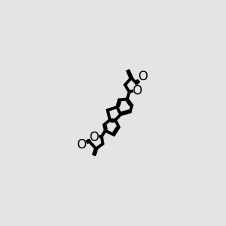 C=C1CC(c2ccc3c(c2)Cc2cc(C4CC(=C)C(=O)O4)ccc2-3)OC1=O